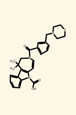 CC1(C)CN(C(=O)c2cccc(CN3CCSCC3)c2)C=Cc2c1c1ccccc1n2C(=O)O